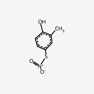 Cc1cc(S[N+](=O)[O-])ccc1O